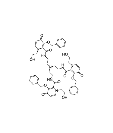 O=C(NCCN(CCNC(=O)c1c(OCc2ccccc2)c(=O)ccn1CCO)CCNC(=O)c1c(OCc2ccccc2)c(=O)ccn1CCO)c1c(OCc2ccccc2)c(=O)ccn1CCO